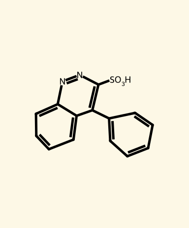 O=S(=O)(O)c1nnc2ccccc2c1-c1ccccc1